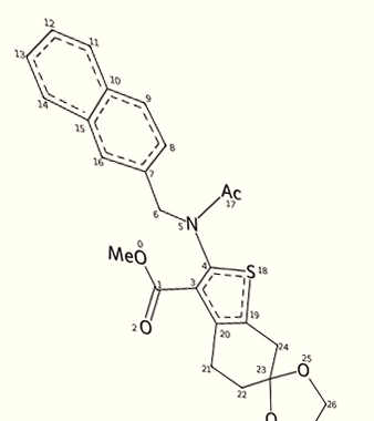 COC(=O)c1c(N(Cc2ccc3ccccc3c2)C(C)=O)sc2c1CCC1(C2)OCCO1